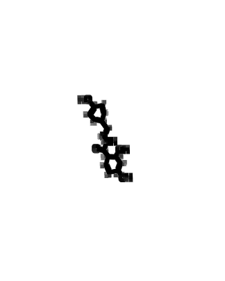 O=C(NN=Cc1ccc(O)cc1)c1ccc(O)cc1O